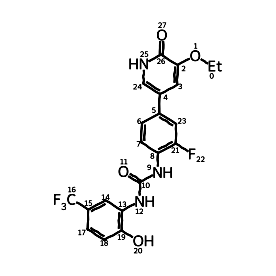 CCOc1cc(-c2ccc(NC(=O)Nc3cc(C(F)(F)F)ccc3O)c(F)c2)c[nH]c1=O